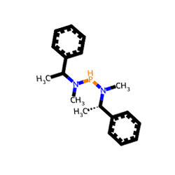 CC(c1ccccc1)N(C)PN(C)[C@@H](C)c1ccccc1